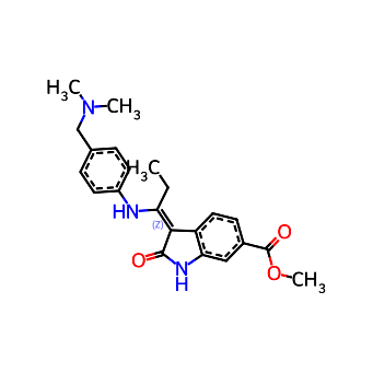 CC/C(Nc1ccc(CN(C)C)cc1)=C1/C(=O)Nc2cc(C(=O)OC)ccc21